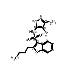 CCCCc1sc2ccccc2c1S(=O)(=O)Nc1onc(C)c1Br